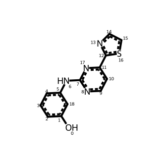 Oc1cccc(Nc2nccc(-c3nccs3)n2)c1